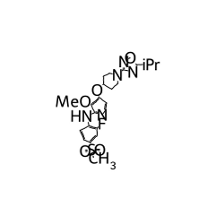 COc1c(OC2CCN(c3noc(C(C)C)n3)CC2)ccnc1Nc1ccc(S(C)(=O)=O)cc1F